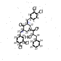 O=C1/C(=C/c2ccc(Cl)c(Cl)c2)CN(C(=O)C(O)Cc2ccccc2)C/C1=C\c1ccc(Cl)c(Cl)c1